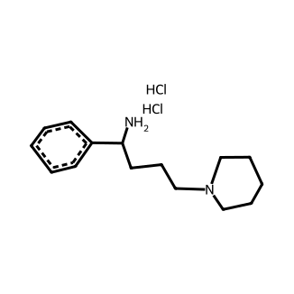 Cl.Cl.NC(CCCN1CCCCC1)c1ccccc1